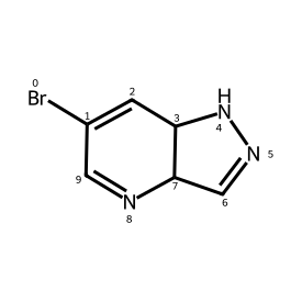 BrC1=CC2NN=CC2N=C1